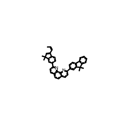 C/C=C\C1=CC(C)(C)c2cc(-c3ccc4ccc5ccc(-c6ccc7c(c6)C(C)(C)c6ccccc6-7)nc5c4n3)ccc21